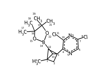 CC12CC(c3ncc(Cl)nc3Cl)(C1)C2B1OC(C)(C)C(C)(C)O1